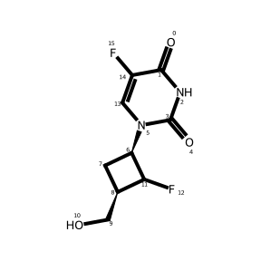 O=c1[nH]c(=O)n([C@@H]2C[C@H](CO)C2F)cc1F